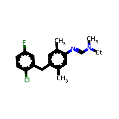 CCN(C)C=Nc1cc(C)c(Cc2cc(F)ccc2Cl)cc1C